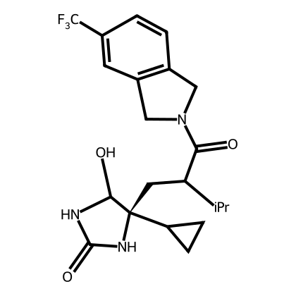 CC(C)C(C[C@@]1(C2CC2)NC(=O)NC1O)C(=O)N1Cc2ccc(C(F)(F)F)cc2C1